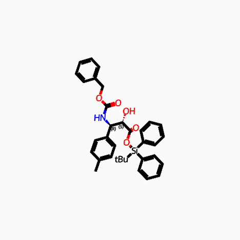 Cc1ccc([C@@H](NC(=O)OCc2ccccc2)[C@H](O)C(=O)O[Si](c2ccccc2)(c2ccccc2)C(C)(C)C)cc1